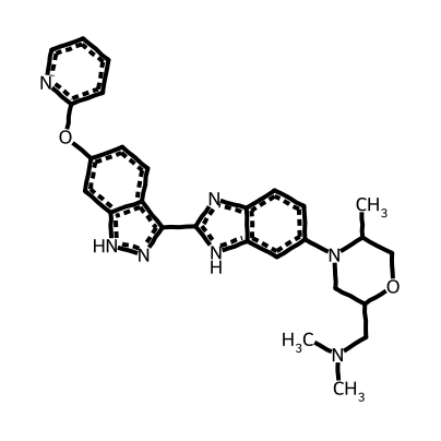 CC1COC(CN(C)C)CN1c1ccc2nc(-c3n[nH]c4cc(Oc5ccccn5)ccc34)[nH]c2c1